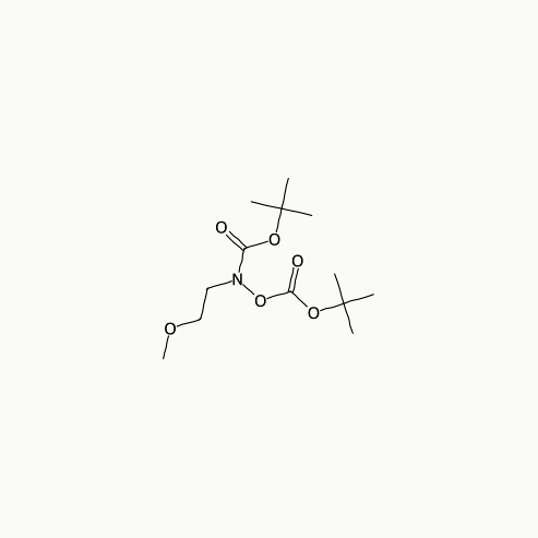 COCCN(OC(=O)OC(C)(C)C)C(=O)OC(C)(C)C